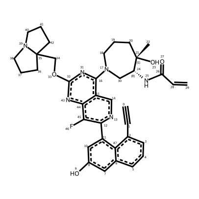 C#Cc1cccc2cc(O)cc(-c3ncc4c(N5CCC[C@](C)(O)[C@H](NC(=O)C=C)C5)nc(OCC56CCCN5CCC6)nc4c3F)c12